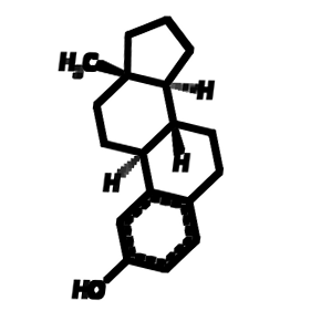 C[C@@]12CCC[C@H]1[C@@H]1CCc3ccc(O)cc3[C@H]1CC2